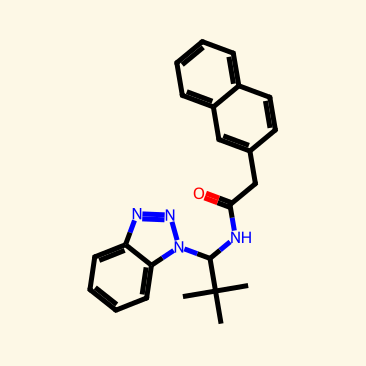 CC(C)(C)C(NC(=O)Cc1ccc2ccccc2c1)n1nnc2ccccc21